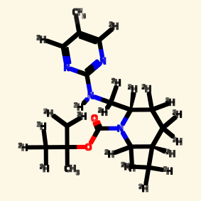 [2H]c1nc(N([2H])C([2H])([2H])[C@@]2([2H])N(C(=O)OC(C)(C([2H])[2H])C([2H])([2H])[2H])C([2H])([2H])[C@@]([2H])(C([2H])([2H])[2H])C([2H])([2H])C2([2H])[2H])nc([2H])c1C(F)(F)F